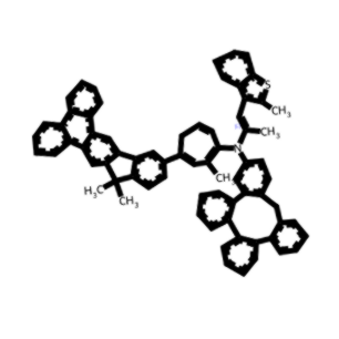 CC1=C(N(/C(C)=C/c2c(C)sc3ccccc23)c2ccc3c(c2)-c2ccccc2-c2ccccc2-c2ccccc2C3)C=CCC(c2ccc3c(c2)-c2cc4c5ccccc5c5ccccc5c4cc2C3(C)C)=C1